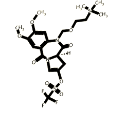 COc1cc2c(cc1OC)N(COCC[Si](C)(C)C)C(=O)[C@H]1CC(OS(=O)(=O)C(F)(F)F)=CN1C2=O